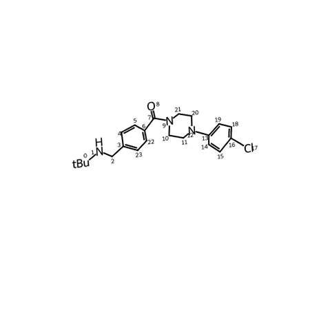 CC(C)(C)NCc1ccc(C(=O)N2CCN(c3ccc(Cl)cc3)CC2)cc1